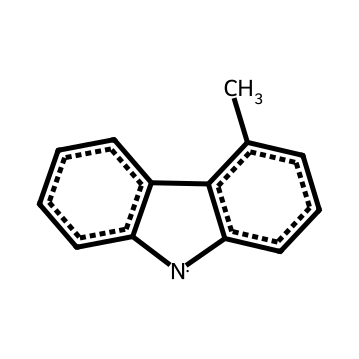 Cc1cccc2c1-c1ccccc1[N]2